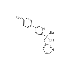 CC(C)(C)c1ccc(-c2ccc(C(O)(Cc3cccnc3)C(C)(C)C)nc2)cc1